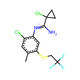 Cc1cc(Cl)c(/N=C(\N)C2(Cl)CC2)cc1SCC(F)(F)F